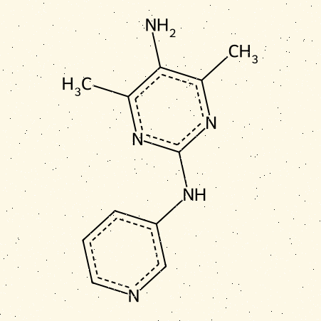 Cc1nc(Nc2cccnc2)nc(C)c1N